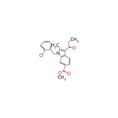 CCC(=O)c1c(C)n(Cc2ccccc2Cl)c2cc(C(=O)OC)ccc12